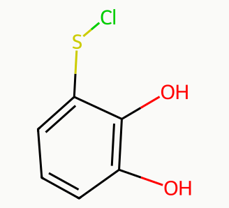 Oc1cccc(SCl)c1O